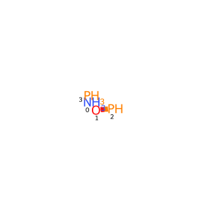 N.O=P.P